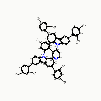 N#Cc1ccc(-c2ccc3c(c2)c2cc(-c4ccc(C#N)cc4C#N)ccc2n3-c2ccncc2-c2ccc(C#N)cc2-n2c3ccc(-c4ccc(C#N)cc4C#N)cc3c3cc(-c4ccc(C#N)cc4C#N)ccc32)c(C#N)c1